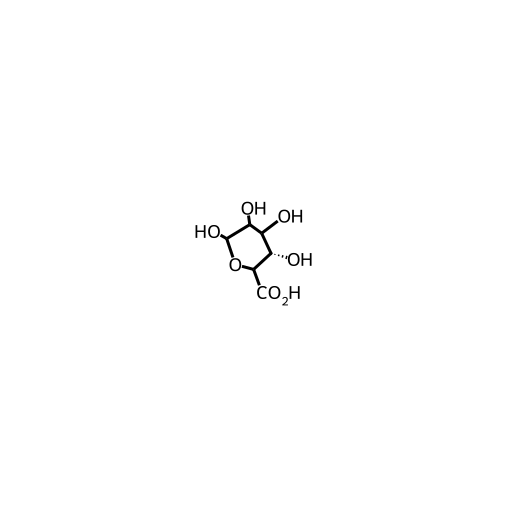 O=C(O)C1OC(O)C(O)C(O)[C@@H]1O